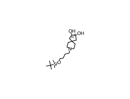 CC(C)(C)[Si](C)(C)OCCCCN1CCC2(CC1)C[C@@H](O)[C@H](O)C2